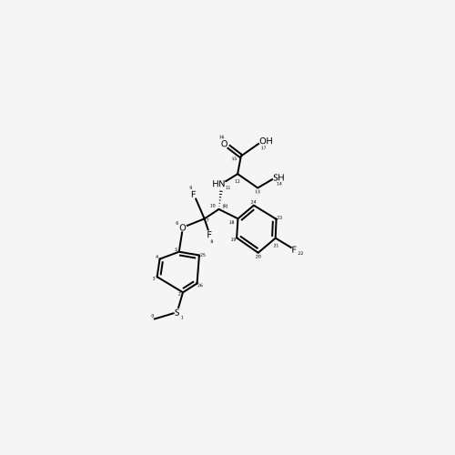 CSc1ccc(OC(F)(F)[C@H](NC(CS)C(=O)O)c2ccc(F)cc2)cc1